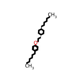 CCCCCCCc1ccc(OCCC[C@H]2CC[C@H](CCCCCCC)CC2)cc1